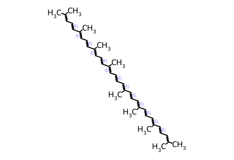 CC(C)=C/C=C/C(C)=C/C=C/C(C)=C/C=C/C(C)=C/C=C/C=C(C)/C=C/C=C(C)/C=C/C=C(C)/C=C/C=C(C)C